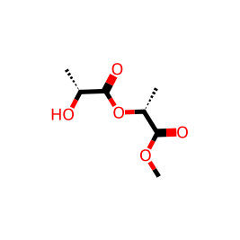 COC(=O)[C@@H](C)OC(=O)[C@@H](C)O